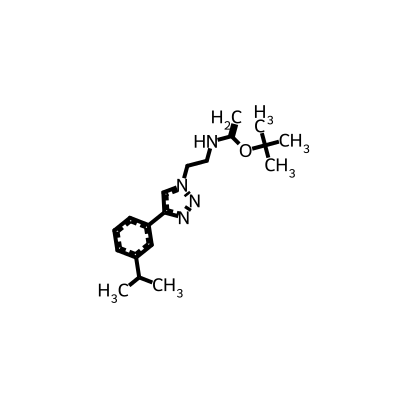 C=C(NCCn1cc(-c2cccc(C(C)C)c2)nn1)OC(C)(C)C